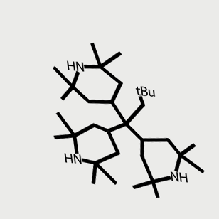 CC(C)(C)CC(C1CC(C)(C)NC(C)(C)C1)(C1CC(C)(C)NC(C)(C)C1)C1CC(C)(C)NC(C)(C)C1